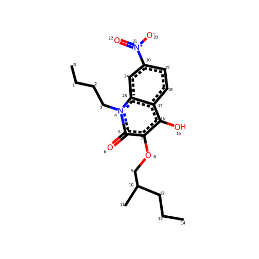 CCCCn1c(=O)c(OCC(C)CCC)c(O)c2ccc([N+](=O)[O-])cc21